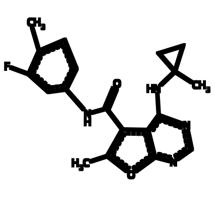 Cc1ccc(NC(=O)c2c(C)oc3ncnc(NC4(C)CC4)c23)cc1F